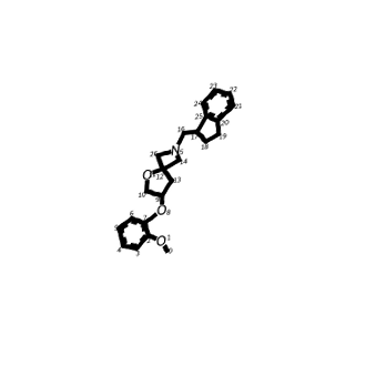 COc1ccccc1OC1COC2(C1)CN(CC1CCc3ccccc31)C2